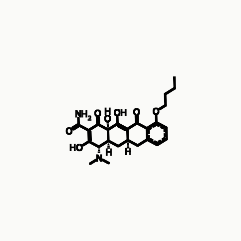 CCCCOc1cccc2c1C(=O)C1=C(O)[C@]3(O)C(=O)C(C(N)=O)=C(O)[C@@H](N(C)C)[C@@H]3C[C@@H]1C2